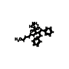 CCCCCCC(C(Cc1ccccc1)Cc1ccccc1)S(=O)(=O)O.N